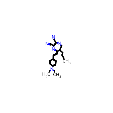 CCCCC1C=NC(C#N)=C(C#N)N=C1/C=C/c1ccc(N(CC)CC)cc1